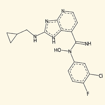 N=C(c1ccnc2nc(NCC3CC3)[nH]c12)N(O)c1ccc(F)c(Cl)c1